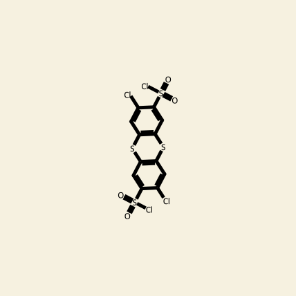 O=S(=O)(Cl)c1cc2c(cc1Cl)Sc1cc(S(=O)(=O)Cl)c(Cl)cc1S2